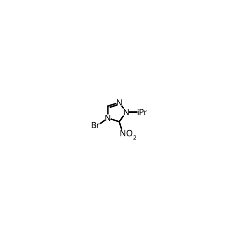 CC(C)N1N=CN(Br)C1[N+](=O)[O-]